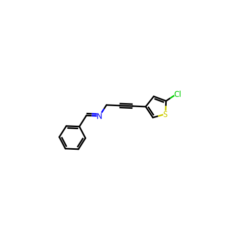 Clc1cc(C#CC/N=C/c2ccccc2)cs1